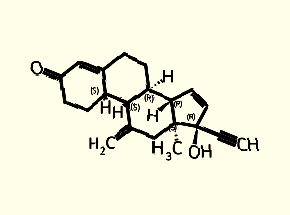 C#C[C@@]1(O)C=C[C@H]2[C@@H]3CCC4=CC(=O)CC[C@H]4[C@H]3C(=C)C[C@@]21C